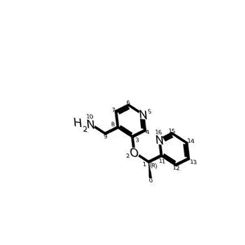 C[C@@H](Oc1cnccc1CN)c1ccccn1